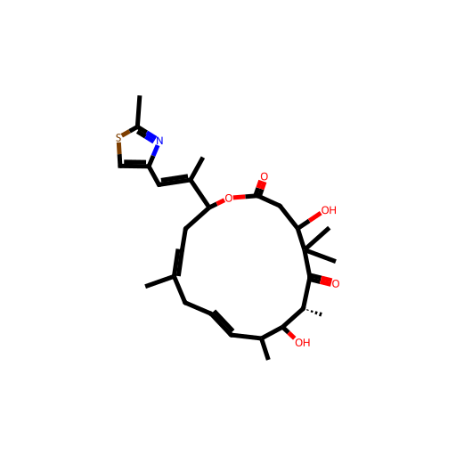 C/C1=C/CC(/C(C)=C/c2csc(C)n2)OC(=O)CC(O)C(C)(C)C(=O)[C@H](C)C(O)C(C)/C=C/C1